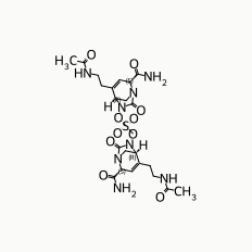 CC(=O)NCCC1=C[C@@H](C(N)=O)N2C[C@@H]1N(OS(=O)(=O)ON1C(=O)N3C[C@H]1C(CCNC(C)=O)=C[C@H]3C(N)=O)C2=O